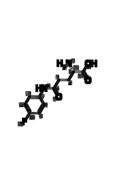 N[C@@H](CCC(=O)Nc1ccc(F)cc1)C(=O)O